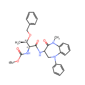 C[C@@H](OCc1ccccc1)[C@H](NC(=O)OC(C)(C)C)C(=O)NC1CN(c2ccccc2)c2ccccc2N(C)C1=O